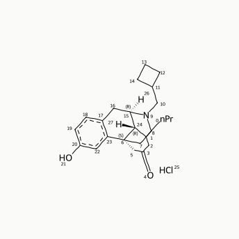 CCCC1CC(=O)C[C@]23CCN(CC4CCC4)[C@H](Cc4ccc(O)cc42)[C@H]13.Cl